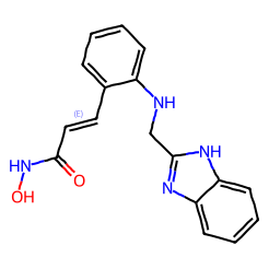 O=C(/C=C/c1ccccc1NCc1nc2ccccc2[nH]1)NO